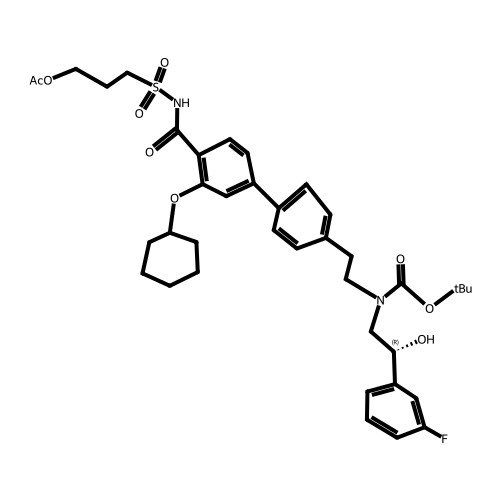 CC(=O)OCCCS(=O)(=O)NC(=O)c1ccc(-c2ccc(CCN(C[C@H](O)c3cccc(F)c3)C(=O)OC(C)(C)C)cc2)cc1OC1CCCCC1